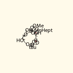 C=C1C[C@H](O)CCO[C@H](C(C)(C)C)C[C@@H]2CCO[C@H](/C=C/C(C)(C)[C@]3(O)O[C@@H](C/C(=C\C(=O)OC)[C@@H]3OC(=O)CCCCCCC)C[C@H](CO)O1)O2